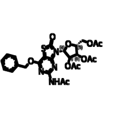 CC(=O)Nc1nc(OCc2ccccc2)c2sc(=O)n([C@@H]3O[C@H](COC(C)=O)[C@@H](OC(C)=O)[C@H]3OC(C)=O)c2n1